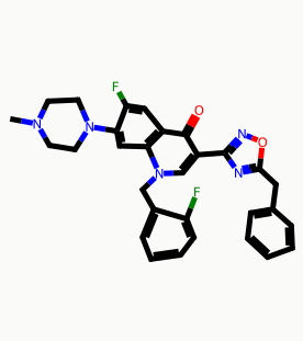 CN1CCN(c2cc3c(cc2F)c(=O)c(-c2noc(Cc4ccccc4)n2)cn3Cc2ccccc2F)CC1